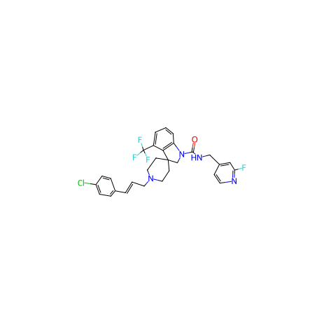 O=C(NCc1ccnc(F)c1)N1CC2(CCN(C/C=C/c3ccc(Cl)cc3)CC2)c2c1cccc2C(F)(F)F